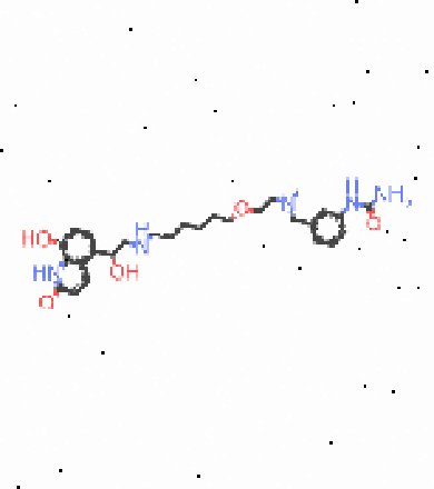 CN(CCOCCCCCCNC[C@@H](O)c1ccc(O)c2[nH]c(=O)ccc12)Cc1cccc(NC(N)=O)c1